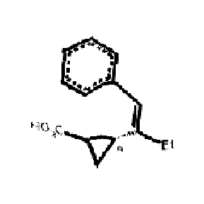 CCC(=Cc1ccccc1)[C@@H]1CC1C(=O)O